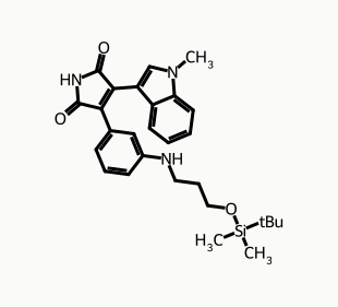 Cn1cc(C2=C(c3cccc(NCCCO[Si](C)(C)C(C)(C)C)c3)C(=O)NC2=O)c2ccccc21